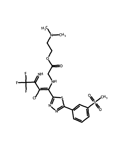 CN(C)CCOC(=O)CN/C(=C(/Cl)C(=N)C(F)(F)F)c1nnc(-c2cccc(S(C)(=O)=O)c2)s1